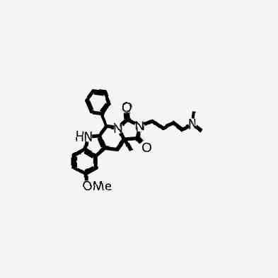 COc1ccc2[nH]c3c(c2c1)CC1(C)C(=O)N(CCCCN(C)C)C(=O)N1C3c1ccccc1